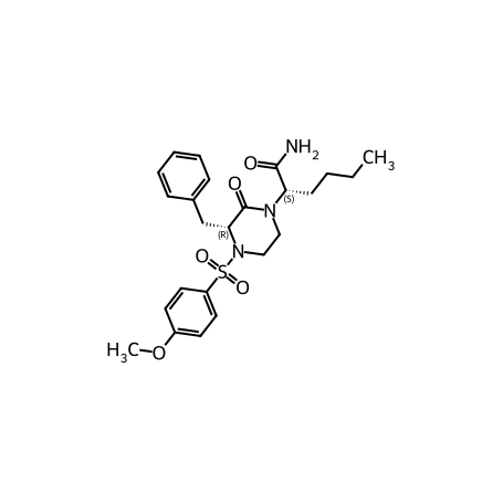 CCCC[C@@H](C(N)=O)N1CCN(S(=O)(=O)c2ccc(OC)cc2)[C@H](Cc2ccccc2)C1=O